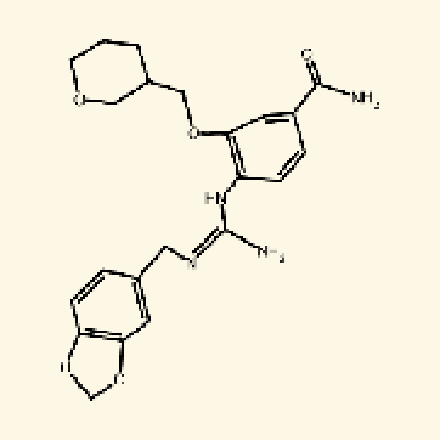 NC(=O)c1ccc(NC(N)=NCc2ccc3c(c2)OCO3)c(OCC2CCCOC2)c1